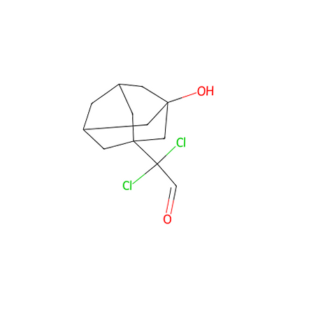 O=CC(Cl)(Cl)C12CC3CC(CC(O)(C3)C1)C2